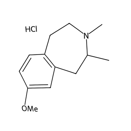 COc1ccc2c(c1)CC(C)N(C)CC2.Cl